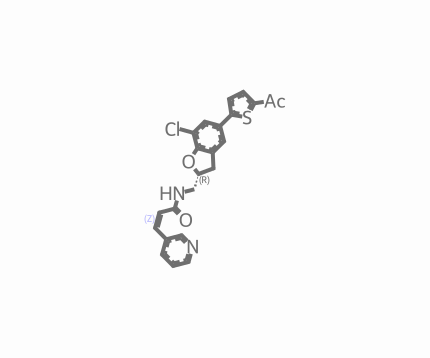 CC(=O)c1ccc(-c2cc(Cl)c3c(c2)C[C@H](CNC(=O)/C=C\c2cccnc2)O3)s1